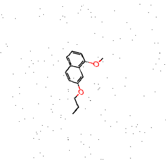 CCCOc1ccc2cccc(OC)c2c1